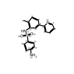 Cc1ccc(-c2ccccn2)cc1NS(=O)(=O)c1ccc(N)cc1